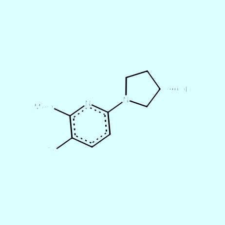 COc1nc(N2CC[C@H](O)C2)ccc1Br